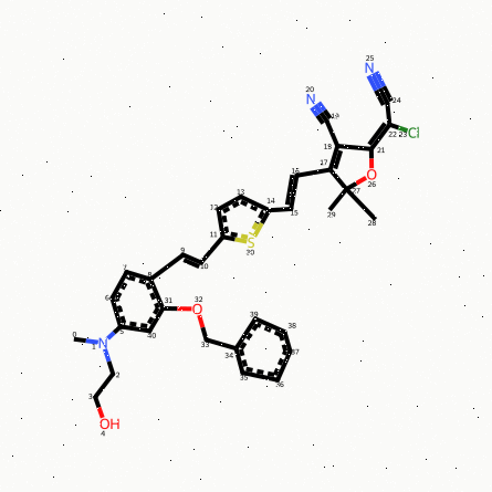 CN(CCO)c1ccc(/C=C/c2ccc(/C=C/C3=C(C#N)C(=C(/Cl)C#N)/OC3(C)C)s2)c(OCc2ccccc2)c1